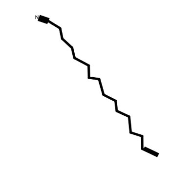 C=CCCCCCCCCCCCCCC#N